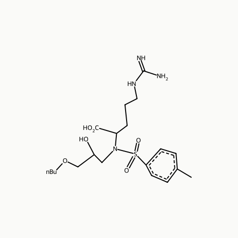 CCCCOCC(O)CN(C(CCCNC(=N)N)C(=O)O)S(=O)(=O)c1ccc(C)cc1